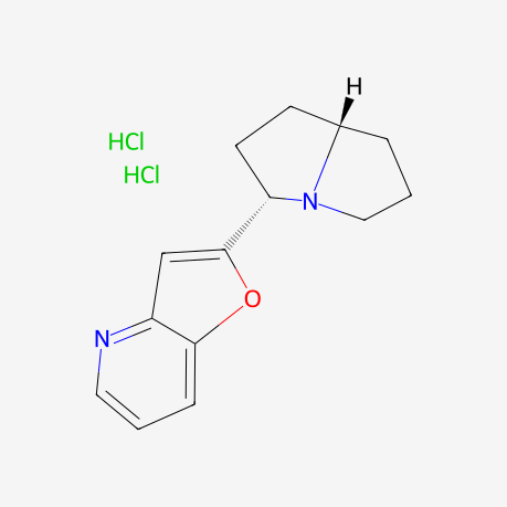 Cl.Cl.c1cnc2cc([C@@H]3CC[C@@H]4CCCN43)oc2c1